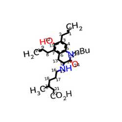 C=CCc1cc2c(c(CC=C)c1O)CC(NCCCC(C)CC(=O)O)C(=O)N2CCCC